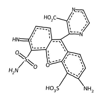 N=c1ccc2c(-c3nccnc3C(=O)O)c3ccc(N)c(S(=O)(=O)O)c3oc-2c1S(N)(=O)=O